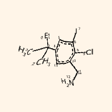 CCC(C)(C)c1cc(I)c(Cl)c(CN)c1